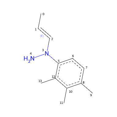 C/C=C/N(N)c1ccc(C)c(C)c1C